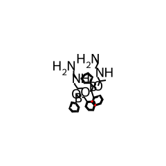 CC(CNCCN)OB(c1ccccc1)C(OC(B(OC(C)CNCCN)c1ccccc1)c1ccccc1)c1ccccc1